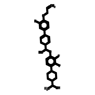 C=CCOc1ccc(C2=CCC(C(O)Oc3ccc(C4CCC(C(C)O)CC4)c(F)c3F)C=C2)cc1F